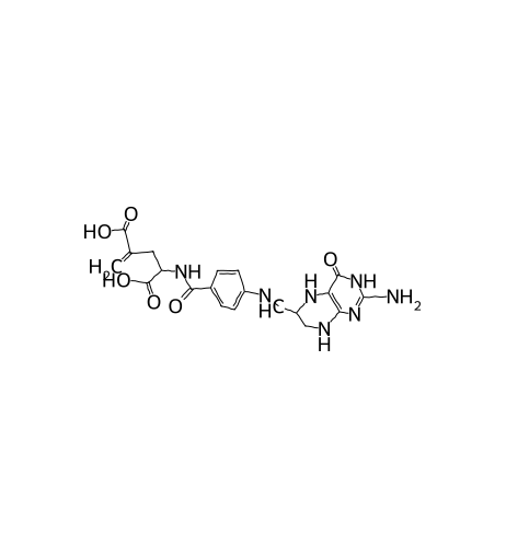 C=C(CC(NC(=O)c1ccc(NCC2CNc3nc(N)[nH]c(=O)c3N2)cc1)C(=O)O)C(=O)O